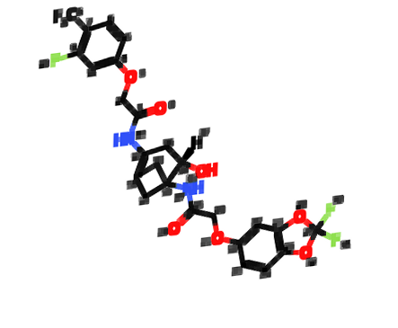 O=C(COc1ccc(C(F)(F)F)c(F)c1)NC1=C2CC(NC(=O)COc3ccc4c(c3)OC(F)(F)O4)(C2)[C@@H](O)C1